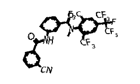 CN(C(=O)c1cccc(NC(=O)c2cccc(C#N)c2)c1)c1c(C(F)(F)F)cc(C(F)(C(F)(F)F)C(F)(F)F)cc1C(F)(F)F